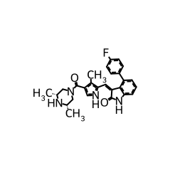 Cc1c(C(=O)N2C[C@@H](C)N[C@@H](C)C2)c[nH]c1/C=C1\C(=O)Nc2cccc(-c3ccc(F)cc3)c21